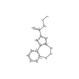 CCOC(=O)c1cn2c(n1)-c1ccccc1CCC2